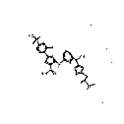 CN(C)C(=O)Cn1cc(C(O)c2cccc(Nc3sc(-c4ccc(C(C)(C)O)cc4F)cc3C(N)=O)n2)nn1